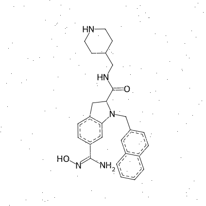 N/C(=N/O)c1ccc2c(c1)N(Cc1ccc3ccccc3c1)C(C(=O)NCC1CCNCC1)C2